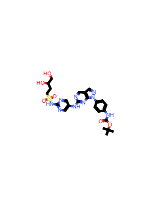 CC(C)(C)OC(=O)Nc1ccc(-n2ncc3cnc(Nc4cnc(NS(=O)(=O)CCC(O)CO)nc4)nc32)cc1